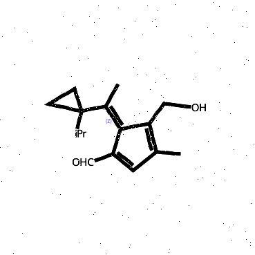 CC1=C(CO)/C(=C(\C)C2(C(C)C)CC2)C(C=O)=C1